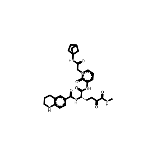 CNC(=O)C(=O)CC[C@H](NC(=O)c1ccc2c(c1)CCCN2)C(=O)Nc1cccn(CC(=O)NC23CCC(C2)C3)c1=O